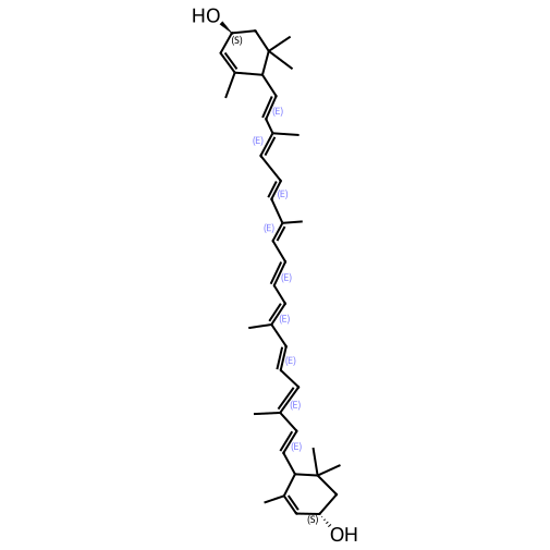 CC1=C[C@@H](O)CC(C)(C)C1/C=C/C(C)=C/C=C/C(C)=C/C=C/C=C(C)/C=C/C=C(C)/C=C/C1C(C)=C[C@@H](O)CC1(C)C